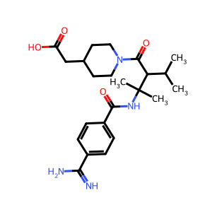 CC(C)C(C(=O)N1CCC(CC(=O)O)CC1)C(C)(C)NC(=O)c1ccc(C(=N)N)cc1